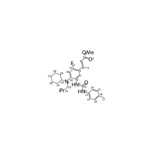 COC(=O)C=C(C)c1cc(NC(=O)Nc2ccc(C)cc2)c(N(CC(C)C)C2CCCCC2)cc1F